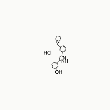 Cl.Oc1cccc(-c2cc(-c3cccc(CN4CCCC4)c3)n[nH]2)c1